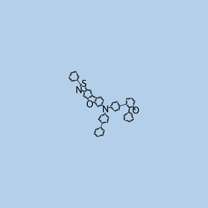 c1ccc(-c2ccc(N(c3ccc(-c4cccc5oc6ccccc6c45)cc3)c3ccc4c(c3)oc3cc5nc(-c6ccccc6)sc5cc34)cc2)cc1